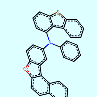 c1ccc(N(c2ccc3oc4ccc5ccccc5c4c3c2)c2cccc3sc4ccccc4c23)cc1